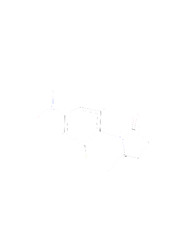 O=C1CCC(=O)N1c1ccc([N+](=O)[O-])cc1F